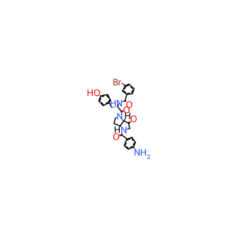 Nc1ccc(C(=O)N2CC(=O)[C@@H]3[C@H]2CCN3C(=O)[C@H](Cc2ccc(O)cc2)NC(=O)c2cccc(Br)c2)cc1